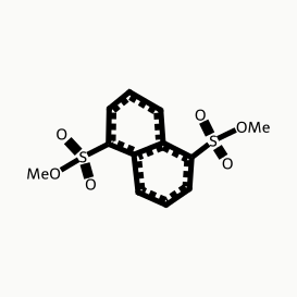 COS(=O)(=O)c1cccc2c(S(=O)(=O)OC)cccc12